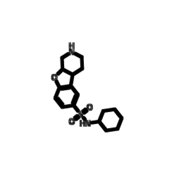 O=S(=O)(NC1CCCCC1)c1ccc2c(c1)C1CCNCC1O2